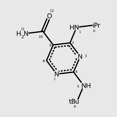 CC(C)Nc1nc(NC(C)(C)C)ncc1C(N)=O